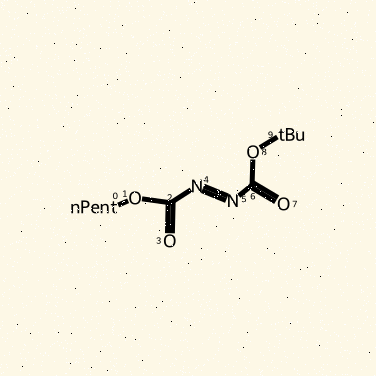 CCCCCOC(=O)N=NC(=O)OC(C)(C)C